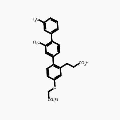 CCOC(=O)COc1ccc(-c2ccc(-c3cccc(C)c3)c(C)c2)c(CCC(=O)O)c1